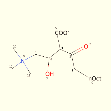 CCCCCCCCCC(=O)C(C(=O)[O-])C(O)C[N+](C)(C)C